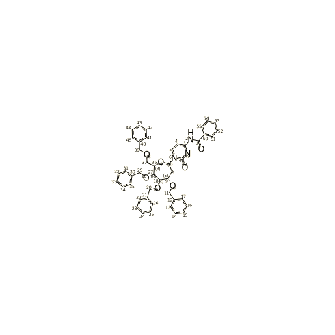 O=C(Nc1ccn([C@H]2C[C@H](OCc3ccccc3)[C@@H](OCc3ccccc3)[C@H](OCc3ccccc3)[C@@H](COCc3ccccc3)O2)c(=O)n1)c1ccccc1